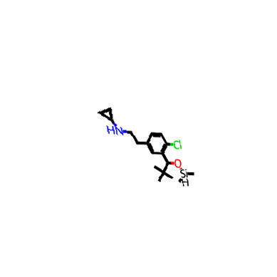 C[SiH](C)OC(c1cc(CCNC2CC2)ccc1Cl)C(C)(C)C